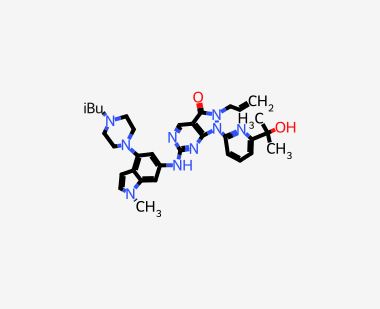 C=CCn1c(=O)c2cnc(Nc3cc(N4CCN(C(C)CC)CC4)c4ccn(C)c4c3)nc2n1-c1cccc(C(C)(C)O)n1